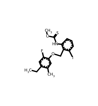 CCc1cc(F)c(OCc2c(I)cccc2NC(=S)OC)cc1C